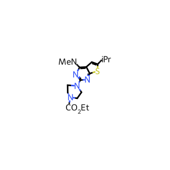 CCOC(=O)N1CCN(c2nc(NC)c3cc(C(C)C)sc3n2)CC1